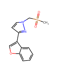 CS(=O)(=O)Cn1ccc(-c2coc3ccccc23)n1